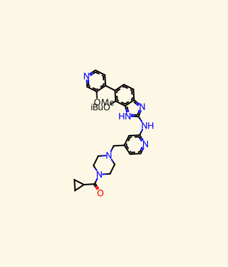 COc1cnccc1-c1ccc2nc(Nc3cc(CN4CCN(C(=O)C5CC5)CC4)ccn3)[nH]c2c1OCC(C)C